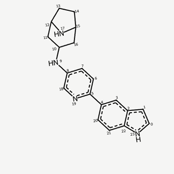 c1cc2cc(-c3ccc(NC4CC5CCC(C4)N5)cn3)ccc2[nH]1